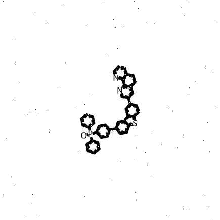 O=P(c1ccccc1)(c1ccccc1)c1ccc(-c2ccc3sc4ccc(-c5cnc6c(ccc7cccnc76)c5)cc4c3c2)cc1